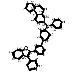 c1ccc(-c2c(-c3cccc(-c4ccc(N(c5ccccc5)c5ccc6c(ccc7ccccc76)c5)cc4)c3)oc3ccccc23)cc1